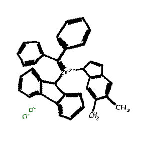 Cc1cc2c(cc1C)[CH]([Zr+2](=[C](c1ccccc1)c1ccccc1)[CH]1c3ccccc3-c3ccccc31)C=C2.[Cl-].[Cl-]